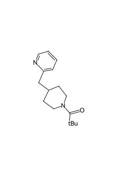 CC(C)(C)C(=O)N1CCC(Cc2ccccn2)CC1